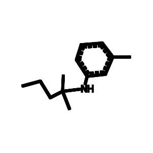 CCCC(C)(C)Nc1cccc(C)c1